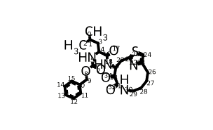 CC(C)CC(NC(=O)OCc1ccccc1)C(=O)NC1Cc2nc(cs2)CCCCNC(=O)C1=O